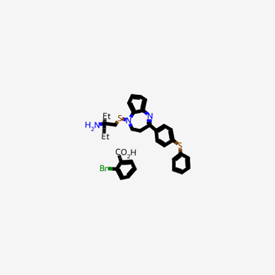 CCC(N)(CC)CSN1CCC(c2ccc(Sc3ccccc3)cc2)=Nc2ccccc21.O=C(O)c1ccccc1Br